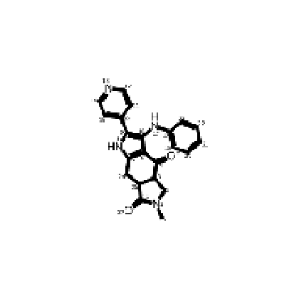 CN1CC2C(=O)c3c([nH]c(-c4ccncc4)c3Nc3ccccc3)CC2C1=O